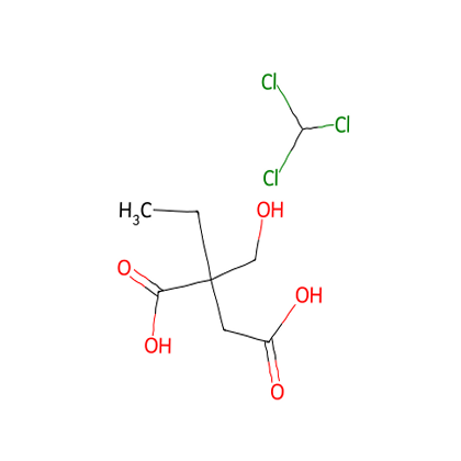 CCC(CO)(CC(=O)O)C(=O)O.ClC(Cl)Cl